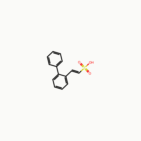 O=S(=O)(O)C=Cc1ccccc1-c1ccccc1